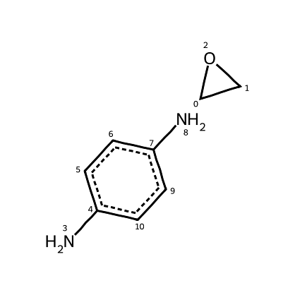 C1CO1.Nc1ccc(N)cc1